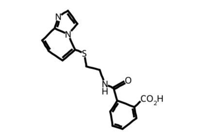 O=C(O)c1ccccc1C(=O)NCCSc1cccc2nccn12